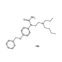 Br.CCCCN(CCC)CCN(C(N)=O)c1ccc(OCc2ccccc2)cc1